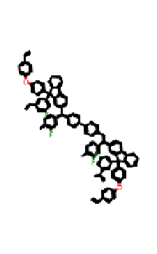 C=Cc1ccc(Oc2ccc(C3(c4cc(F)cc(C(=C)C)c4)c4ccccc4-c4ccc(C(Cc5ccc(-c6ccc(C(c7ccc(C)c(F)c7)c7ccc8c(c7)C(c7ccc(Oc9ccc(C=C)cc9)cc7)(c7cc(F)cc(CC)c7)c7ccccc7-8)cc6)cc5)c5ccc(C)c(F)c5)cc43)cc2)cc1